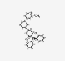 Cc1cc(-c2cccc(-c3cc4c5c(c3)Oc3ccccc3P5(=O)c3ccccc3O4)c2)ccn1